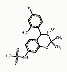 Cc1cc(Br)ccc1C1c2ccc(NS(C)(=O)=O)cc2OC(C)(C)[NH+]1[O-]